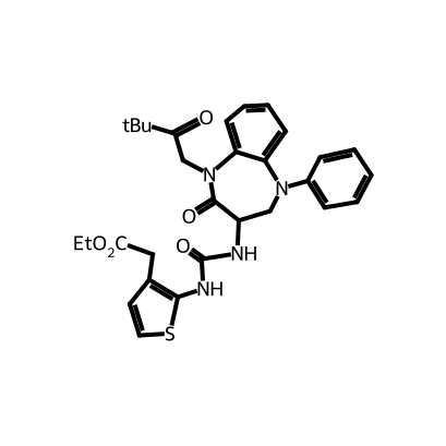 CCOC(=O)Cc1ccsc1NC(=O)NC1CN(c2ccccc2)c2ccccc2N(CC(=O)C(C)(C)C)C1=O